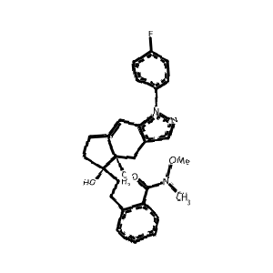 CON(C)C(=O)c1ccccc1CC[C@]1(O)CCC2=Cc3c(cnn3-c3ccc(F)cc3)C[C@@]21C